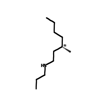 CCCC[C@H](C)CCNCCC